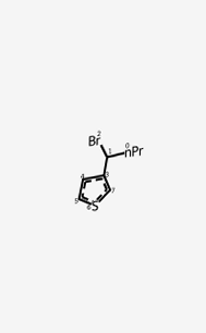 CCCC(Br)c1ccsc1